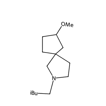 CCC(C)CN1CCC2(CCC(OC)C2)C1